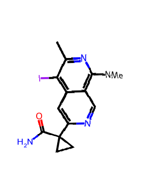 CNc1nc(C)c(I)c2cc(C3(C(N)=O)CC3)ncc12